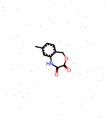 Cc1ccc2c(c1)NC(=O)C(=O)OC2